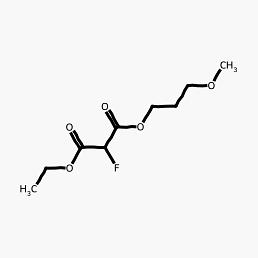 CCOC(=O)C(F)C(=O)OCCCOC